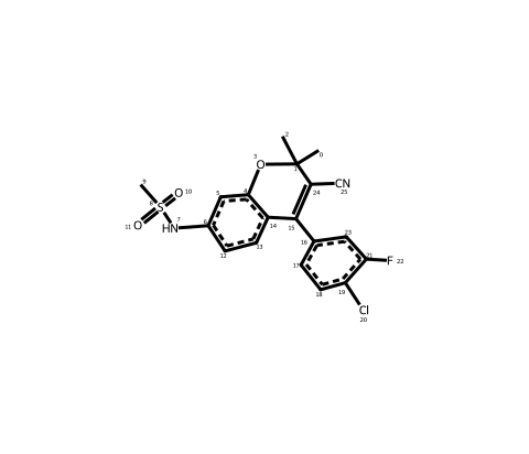 CC1(C)Oc2cc(NS(C)(=O)=O)ccc2C(c2ccc(Cl)c(F)c2)=C1C#N